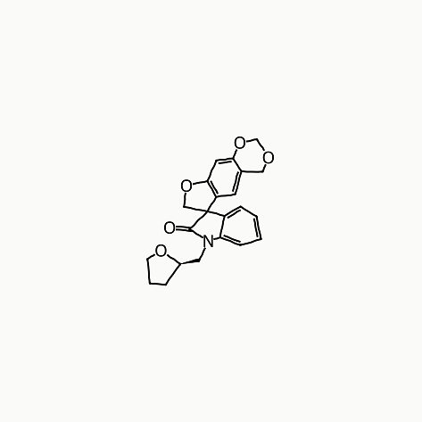 O=C1N(C[C@H]2CCCO2)c2ccccc2C12COc1cc3c(cc12)COCO3